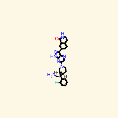 NC[C@]1(c2ccccc2F)[C@@H]2CCN(c3cnc4c(-c5ccc6cc[nH]c(=O)c6c5)n[nH]c4n3)C[C@@H]21